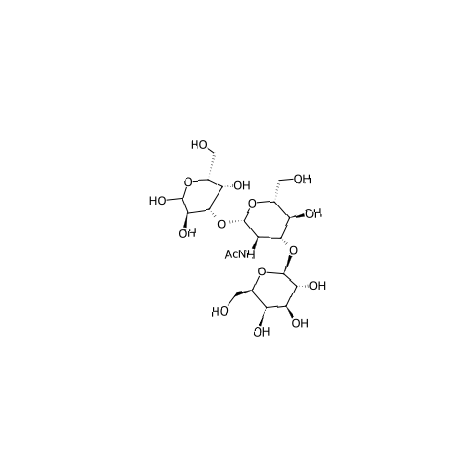 CC(=O)N[C@H]1[C@H](O[C@H]2[C@@H](O)[C@@H](CO)OC(O)[C@@H]2O)O[C@H](CO)[C@@H](O)[C@@H]1O[C@@H]1O[C@H](CO)[C@H](O)[C@H](O)[C@H]1O